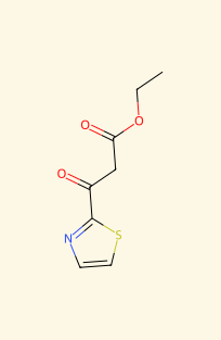 CCOC(=O)CC(=O)c1nccs1